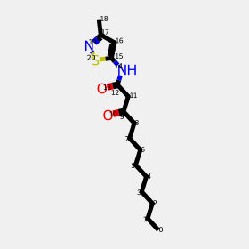 CCCCCCCCCC(=O)CC(=O)Nc1cc(C)ns1